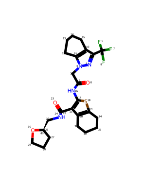 O=C(Cn1nc(C(F)(F)F)c2c1CCCC2)Nc1sc2c(c1C(=O)NC[C@H]1CCCO1)CCCC2